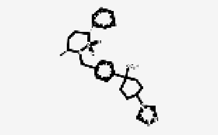 C[C@H]1CC[C@H](c2ccccc2)S(=O)(=O)N1Cc1ccc(C2(C(=O)O)CCC(n3cnnc3)CC2)cc1